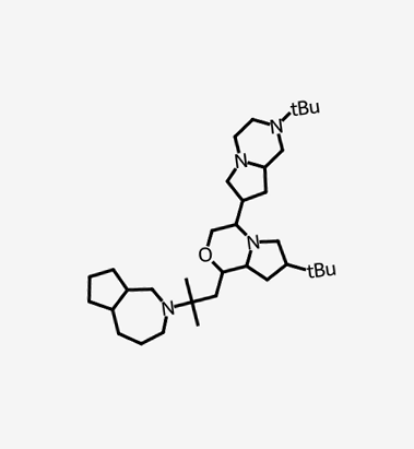 CC(C)(C)C1CC2C(CC(C)(C)N3CCCC4CCCC4C3)OCC(C3CC4CN(C(C)(C)C)CCN4C3)N2C1